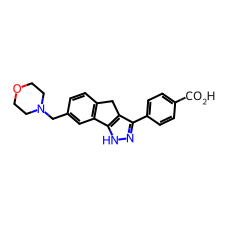 O=C(O)c1ccc(-c2n[nH]c3c2Cc2ccc(CN4CCOCC4)cc2-3)cc1